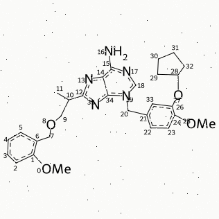 COc1ccccc1COCC(C)c1nc2c(N)ncn(Cc3ccc(OC)c(OC4CCCC4)c3)c-2n1